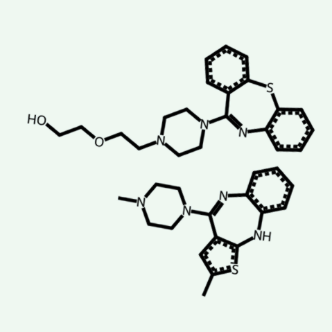 Cc1cc2c(s1)Nc1ccccc1N=C2N1CCN(C)CC1.OCCOCCN1CCN(C2=Nc3ccccc3Sc3ccccc32)CC1